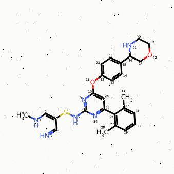 CN/C=C(\C=N)SNc1nc(Oc2ccc(C3COCCN3)cc2)cc(-c2c(C)cccc2C)n1